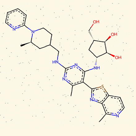 Cc1nc(NCC2CCN(c3ccccn3)[C@H](C)C2)nc(N[C@@H]2C[C@H](CO)[C@@H](O)[C@H]2O)c1-c1nc2c(C)nccc2s1